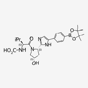 CC(C)[C@H](NC(=O)O)C(=O)N1C[C@@H](O)C[C@H]1c1ncc(-c2ccc(B3OC(C)(C)C(C)(C)O3)cc2)[nH]1